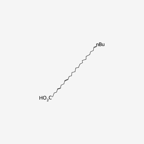 CCCCC=CCCCCCCCCCCCCCCC=CCCC=CCCCC(=O)O